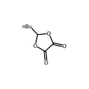 CCCCC1OC(=O)C(=O)O1